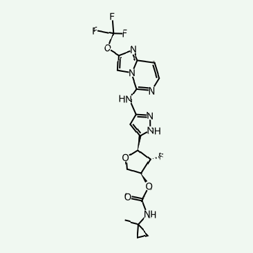 CC1(NC(=O)O[C@H]2CO[C@@H](c3cc(Nc4nccc5nc(OC(F)(F)F)cn45)n[nH]3)[C@@H]2F)CC1